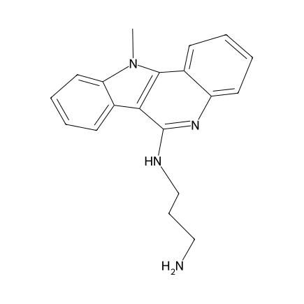 Cn1c2ccccc2c2c(NCCCN)nc3ccccc3c21